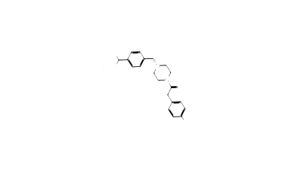 CC(C)c1ccc(CN2CCN(C(=O)Cc3ccc(Br)cc3)CC2)cc1